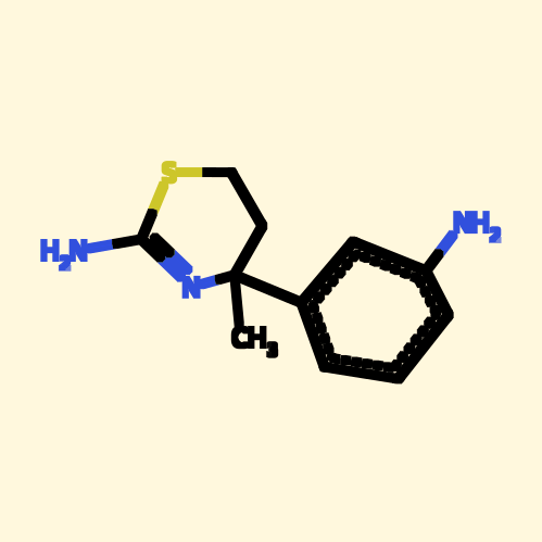 CC1(c2cccc(N)c2)CCSC(N)=N1